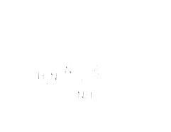 C#CCSC(N)=NN